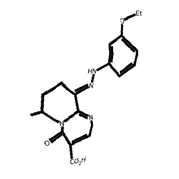 CCOc1cccc(N/N=C2\CCC(C)n3c2ncc(C(=O)O)c3=O)c1